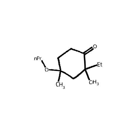 CCCOC1(C)CCC(=O)C(C)(CC)C1